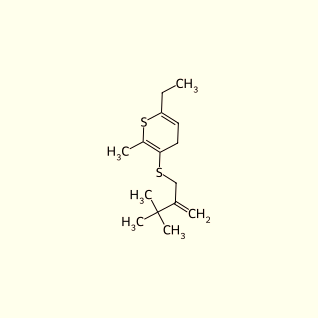 C=C(CSC1=C(C)SC(CC)=CC1)C(C)(C)C